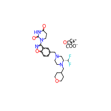 O=C([O-])[O-].O=C1CCN(c2noc3ccc(CN4CCN(CC5CCOCC5)[C@@H](C(F)F)C4)cc23)C(=O)N1.[Cs+].[Cs+]